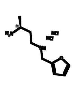 C[C@H](N)CCNCc1ccco1.Cl.Cl